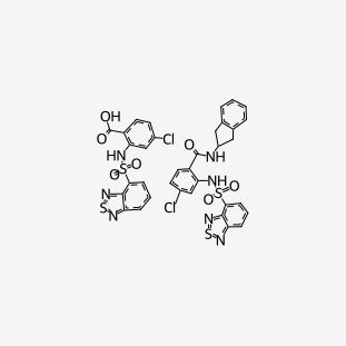 O=C(NC1Cc2ccccc2C1)c1ccc(Cl)cc1NS(=O)(=O)c1cccc2nsnc12.O=C(O)c1ccc(Cl)cc1NS(=O)(=O)c1cccc2nsnc12